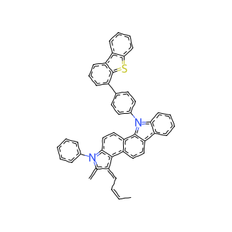 C=c1/c(=C\C=C/C)c2c3ccc4c5ccccc5n(-c5ccc(-c6cccc7c6sc6ccccc67)cc5)c4c3ccc2n1-c1ccccc1